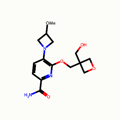 COC1CN(c2ccc(C(N)=O)nc2OCC2(CO)COC2)C1